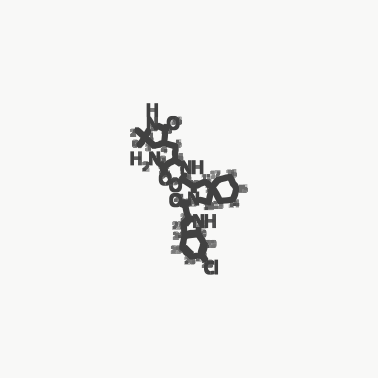 CC1(C)CC(CC(NC(=O)C2CC3(CCCCC3)CN2C(=O)c2cc3ccc(Cl)cc3[nH]2)C(N)=O)C(=O)N1